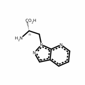 N[C@@H](Cn1ncc2cccnc21)C(=O)O